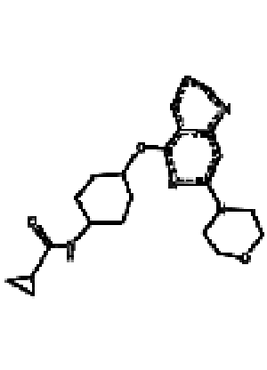 O=C(NC1CCC(Oc2nc(N3CCOCC3)cc3ncccc23)CC1)C1CC1